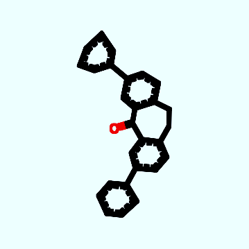 O=C1c2cc(-c3ccccc3)ccc2CCc2ccc(-c3ccccc3)cc21